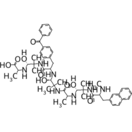 CNC(Cc1ccc2ccccc2c1)C(=O)NC(C)(C)[C@@H](O)NC(C)C(=O)NC(C)(C)[C@@H](O)NC(Cc1ccc(C(=O)c2ccccc2)cc1)C(=O)NC(C)(C)[C@@H](O)NC(C)C(=O)O